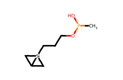 CP(O)OCCC[Si]12CC1C2